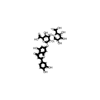 O=C(O)C1O[C@@H](O[C@H]2C(O)[C@H](O)C(C(=O)O)O[C@H]2Oc2cc(O)c3c(=O)cc(-c4ccc(O)c(O)c4)oc3c2)[C@@H](O)C(O)[C@@H]1O